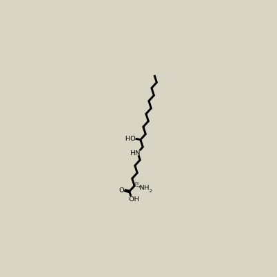 CCCCCCCCCCC(O)CNCCCC[C@H](N)C(=O)O